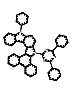 c1ccc(-c2nc(-c3ccccc3)nc(-n3c4ccc5c(c6ccccc6n5-c5ccccc5)c4c4c5ccccc5c5ccccc5c43)n2)cc1